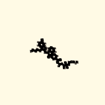 C[C@H](CNS(=O)(=O)CCC(=O)O)OC(=O)N1CCC2(CC1)C(=O)N(Cc1nc3cc(Cl)ccc3n1CCCCF)c1cnccc12